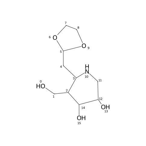 OCC1C(CC2OCCO2)NCC(O)C1O